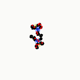 C1=Cc2ccc3c(c2CC1)C1Sc2c(ccc4ccccc24)C1C(c1nc(-c2cccc(-c4cccc(-c5ccc6ccc(-c7nc(-c8ccccc8)nc(-c8cc9ccc%10ccccc%10c9c9sc%10cc%11ccccc%11cc%10c89)n7)cc6c5)c4)c2)nc(-c2ccc4cc(-c5ccccc5)ccc4c2)n1)=C3